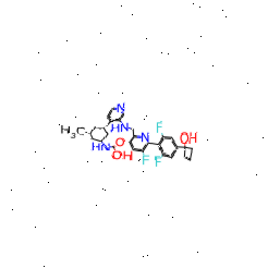 C[C@@H]1C[C@H](NC(=O)O)C[C@H](c2ccncc2NCc2ccc(F)c(-c3c(F)cc(C4(O)CCC4)cc3F)n2)C1